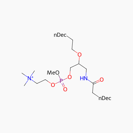 CCCCCCCCCCCCOC(CNC(=O)CCCCCCCCCCC)COP(=O)(OC)OCC[N+](C)(C)C